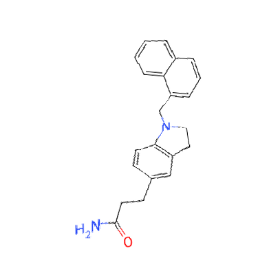 NC(=O)CCc1ccc2c(c1)CCN2Cc1cccc2ccccc12